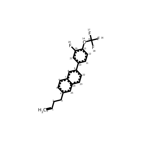 C=CCCc1ccc2cc(-c3ccc(OC(F)(F)F)c(F)c3)ccc2c1